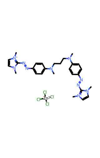 CN(CCCN(C)c1ccc(N=Nc2n(C)cc[n+]2C)cc1)c1ccc(N=Nc2n(C)cc[n+]2C)cc1.[Cl][Zn-2]([Cl])([Cl])[Cl]